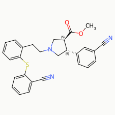 COC(=O)[C@@H]1CN(CCc2ccccc2Sc2ccccc2C#N)C[C@H]1c1cccc(C#N)c1